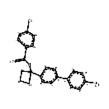 N#Cc1ccc(C(=O)NC2(c3ccc(-c4ccc(C(F)(F)F)nc4)cc3)CCC2)cc1